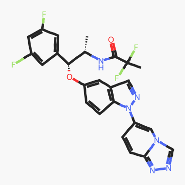 C[C@H](NC(=O)C(C)(F)F)[C@H](Oc1ccc2c(cnn2-c2ccc3nncn3c2)c1)c1cc(F)cc(F)c1